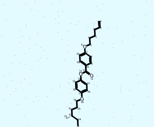 C=CCCCCOc1ccc(C(=O)Oc2ccc(OCCC[C@@H](C)CC)cc2)cc1